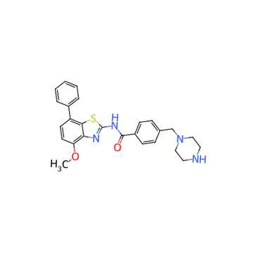 COc1ccc(-c2ccccc2)c2sc(NC(=O)c3ccc(CN4CCNCC4)cc3)nc12